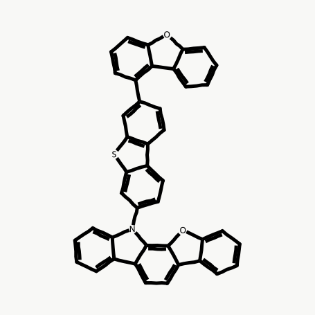 c1ccc2c(c1)oc1c2ccc2c3ccccc3n(-c3ccc4c(c3)sc3cc(-c5cccc6oc7ccccc7c56)ccc34)c21